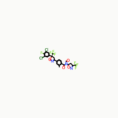 Cc1cc(C2=NO[C@@](c3cc(Cl)c(F)c(Cl)c3)(C(F)(F)F)C2)ccc1C(=O)N(C=O)C1CC(C(F)(F)F)=NO1